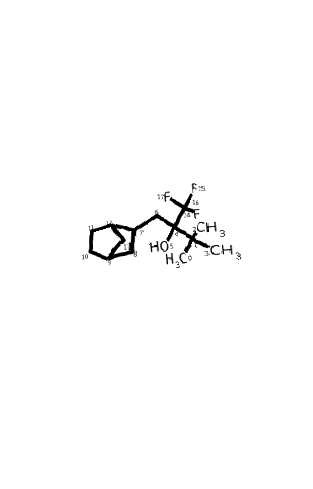 CC(C)(C)C(O)(CC1CC2CCC1C2)C(F)(F)F